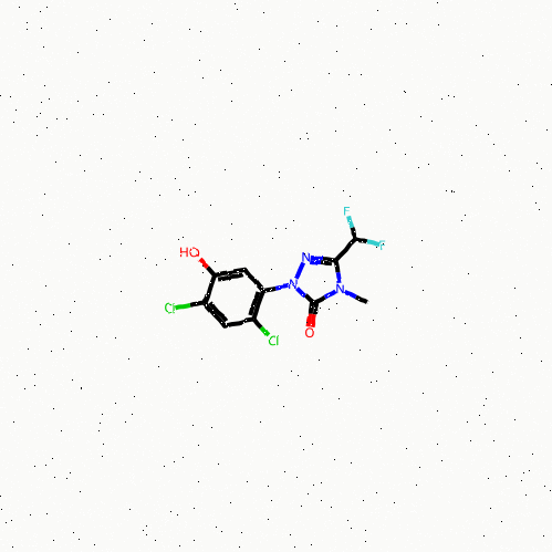 Cn1c(C(F)F)nn(-c2cc(O)c(Cl)cc2Cl)c1=O